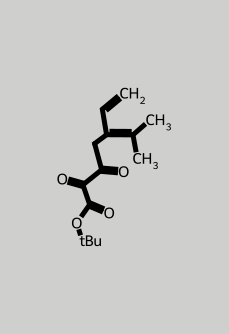 C=CC(CC(=O)C(=O)C(=O)OC(C)(C)C)=C(C)C